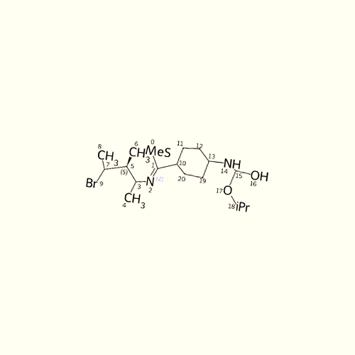 CS/C(=N\C(C)[C@H](C)C(C)Br)C1CCC(NC(O)OC(C)C)CC1